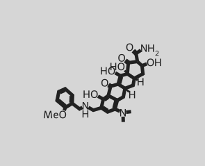 COc1ccccc1CNCc1cc(N(C)C)c2c(c1O)C(=O)C1=C(O)[C@]3(O)C(=O)C(C(N)=O)C(O)C[C@@H]3C[C@@H]1C2